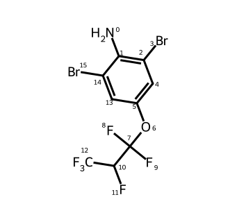 Nc1c(Br)cc(OC(F)(F)C(F)C(F)(F)F)cc1Br